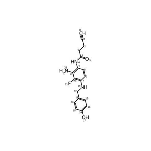 C#CCCC(=O)Nc1ccc(NCc2ccc(O)cc2)c(F)c1N